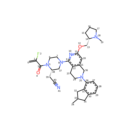 C=C(F)C(=O)N1CCN(c2nc(OC[C@@H]3CCCN3C)cc3c2CCN(c2cccc4c2CC(C)C4)C3)C[C@@H]1CC#N